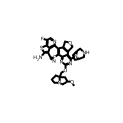 COC1CN2CCCC2(COc2nc(N3C4CCC3CNC4)c3c4c(c(-c5ncc(F)c6sc(N)c(C#N)c56)c(F)c3n2)COC4)C1